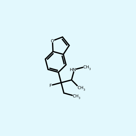 CCC(F)(c1ccc2occc2c1)C(C)NC